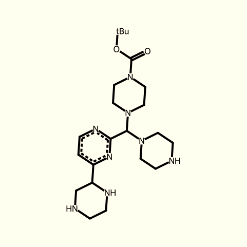 CC(C)(C)OC(=O)N1CCN(C(c2nccc(C3CNCCN3)n2)N2CCNCC2)CC1